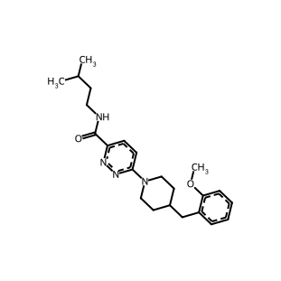 COc1ccccc1CC1CCN(c2ccc(C(=O)NCCC(C)C)nn2)CC1